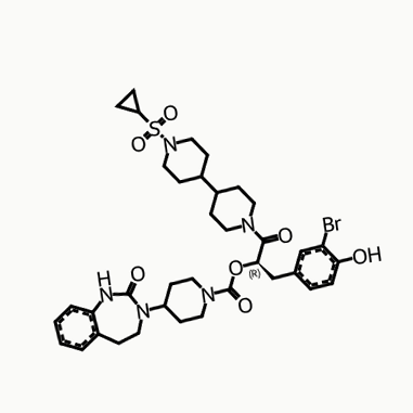 O=C(O[C@H](Cc1ccc(O)c(Br)c1)C(=O)N1CCC(C2CCN(S(=O)(=O)C3CC3)CC2)CC1)N1CCC(N2CCc3ccccc3NC2=O)CC1